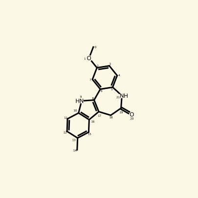 COc1ccc2c(c1)-c1[nH]c3ccc(C)cc3c1CC(=O)N2